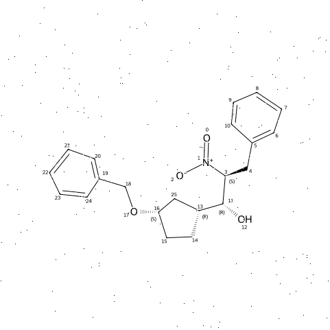 O=[N+]([O-])[C@@H](Cc1ccccc1)[C@H](O)[C@@H]1CC[C@H](OCc2ccccc2)C1